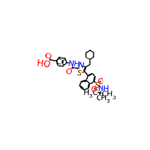 CC(C)(C)NS(=O)(=O)c1ccc(-c2sc(C(=O)NC34CCC(C(=O)O)(CC3)CC4)nc2CC2CCCCC2)c2ccccc12